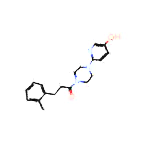 Cc1ccccc1CCC(=O)N1CCN(c2ccc(O)cn2)CC1